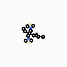 CC1(C)c2cc(-c3ccccc3)ccc2-c2ccc(-c3c4ccc(N5c6ccccc6Sc6ccccc65)cc4c(-c4ccc5ccccc5c4)c4ccc(N5c6ccccc6Sc6ccccc65)cc34)cc21